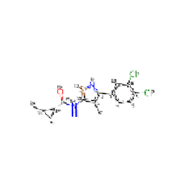 Cc1c(-c2ccc(Cl)c(Cl)c2)nsc1NC(=O)[C@@H]1CC1C